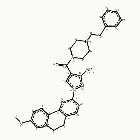 COc1ccc2c(c1)CCc1cnc(-n3cc(C(=O)N4CCN(CCc5ccccc5)CC4)c(N)n3)nc1-2